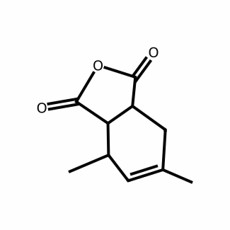 CC1=CC(C)C2C(=O)OC(=O)C2C1